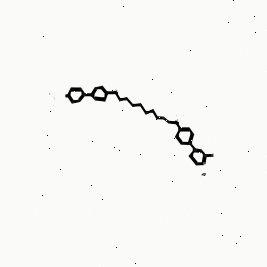 N#Cc1ccc(-c2ccc(C(=O)CCCCCCCCCC(=O)c3ccc(-c4ccc(OC(F)(F)F)c(F)c4)cc3)cc2)cc1